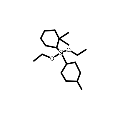 CCO[Si](OCC)(C1CCC(C)CC1)C1CCCCC1(C)C